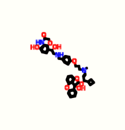 CN(/C=C/C(OC(=O)C1(O)c2ccccc2Oc2ccccc21)C1CCC1)CCCOc1ccc(CNC[C@H](O)c2ccc(O)c3c2OCC(=O)N3)cc1